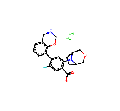 Cl.Cl.O=C(O)c1cc(F)c(-c2cccc3c2OCNC3)cc1N1C2CCC1COC2